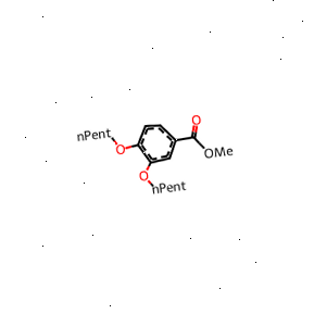 CCCCCOc1ccc(C(=O)OC)cc1OCCCCC